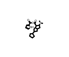 CN(C)C1CC2CC(C3CCCC3)CC2C1C=O.O=C(O)c1ccc[nH]1